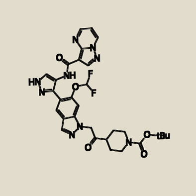 CC(C)(C)OC(=O)N1CCC(C(=O)Cn2ncc3cc(-c4n[nH]cc4NC(=O)c4cnn5cccnc45)c(OC(F)F)cc32)CC1